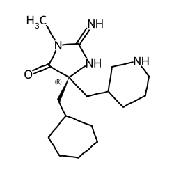 CN1C(=N)N[C@](CC2CCCCC2)(CC2CCCNC2)C1=O